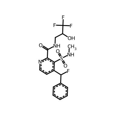 CNS(=O)(=O)c1c(C(F)c2ccccc2)ccnc1C(=O)NCC(O)C(F)(F)F